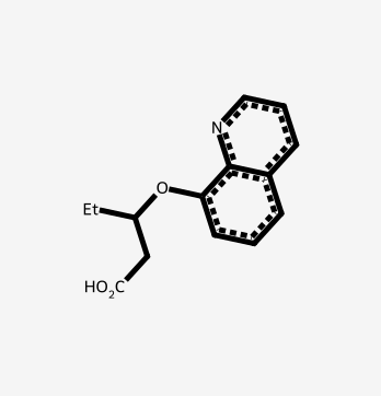 CCC(CC(=O)O)Oc1cccc2cccnc12